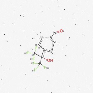 O=Cc1ccc(C(O)(C(F)(F)F)C(F)(F)F)cc1